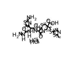 Cc1nnc(SCC2(C(=O)O)CS[C@@H]3C(NC(=O)C(NC(=O)NN)c4csc(N)n4)C(=O)N3C2)s1.Cl.Cl